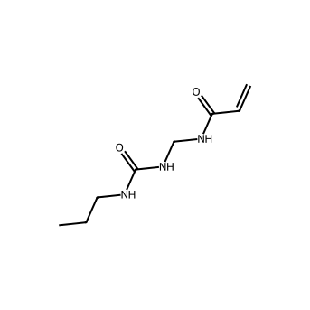 C=CC(=O)NCNC(=O)NCCC